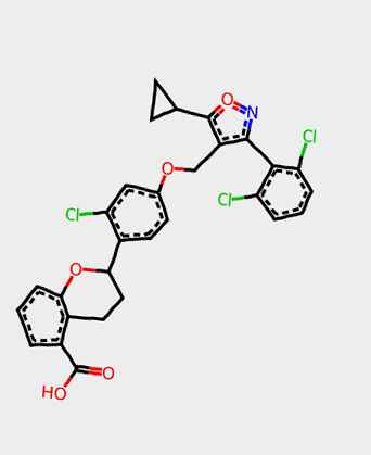 O=C(O)c1cccc2c1CCC(c1ccc(OCc3c(-c4c(Cl)cccc4Cl)noc3C3CC3)cc1Cl)O2